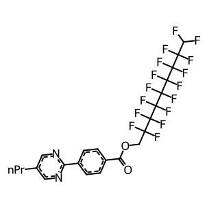 CCCc1cnc(-c2ccc(C(=O)OCC(F)(F)C(F)(F)C(F)(F)C(F)(F)C(F)(F)C(F)(F)C(F)(F)C(F)F)cc2)nc1